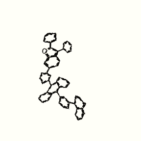 c1ccc(-c2oc3cc(-c4cccc(-c5c6ccccc6c(-c6cccc(-c7cccc8ccccc78)c6)c6ccccc56)c4)ccc3c2-c2ccccc2)cc1